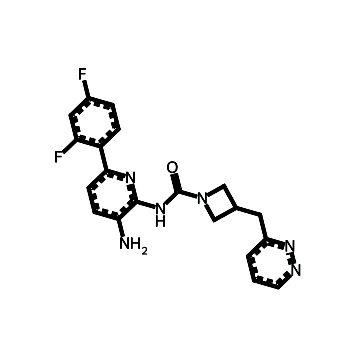 Nc1ccc(-c2ccc(F)cc2F)nc1NC(=O)N1CC(Cc2cccnn2)C1